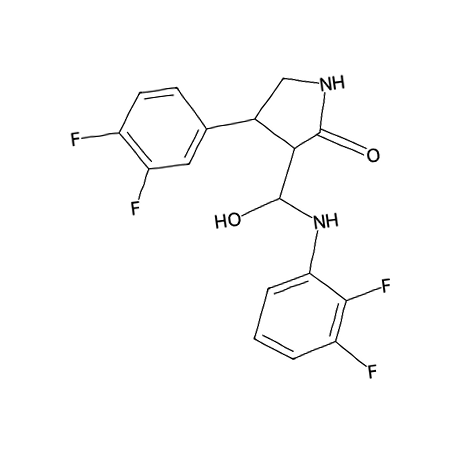 O=C1NCC(c2ccc(F)c(F)c2)C1C(O)Nc1cccc(F)c1F